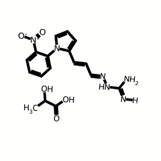 CC(O)C(=O)O.[H]/N=C(\N)NN=CC=Cc1cccn1-c1ccccc1[N+](=O)[O-]